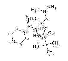 CN(C)CC(C)(C)[C@@H](N[S@@+]([O-])C(C)(C)C)C(=O)N1CCOCC1